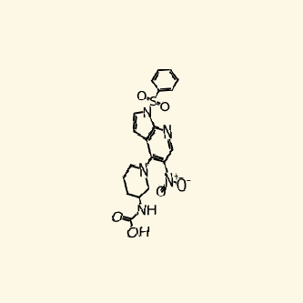 O=C(O)N[C@H]1CCCN(c2c([N+](=O)[O-])cnc3c2ccn3S(=O)(=O)c2ccccc2)C1